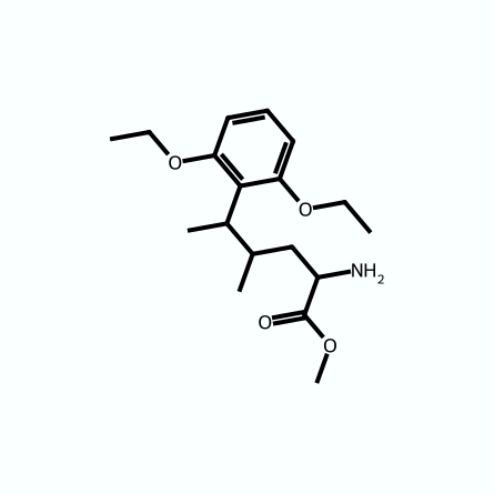 CCOc1cccc(OCC)c1C(C)C(C)CC(N)C(=O)OC